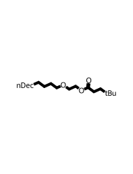 CCCCCCCCCCCCCCOCCOC(=O)CCC(C)(C)C